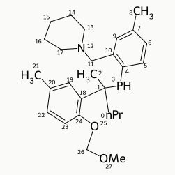 CCCC(C)(Pc1ccc(C)cc1CN1CCCCC1)c1cc(C)ccc1OCOC